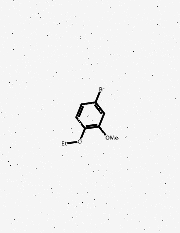 CCOc1c[c]c(Br)cc1OC